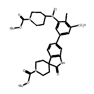 CCN(c1cc(-c2ccc3c(c2)NC(=O)C32CCN(C(=O)OC(C)(C)C)CC2)cc(C(=O)O)c1C)C1CCN(C(=O)OC(C)(C)C)CC1